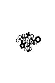 CC(C)(C)[C@H](NC(=O)[C@@H](NC(=O)c1cnccn1)C1CCCCC1)C(=O)N1CC2CCCC2[C@H]1C(=O)O